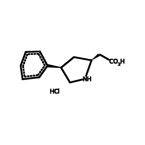 Cl.O=C(O)C[C@H]1C[C@H](c2ccccc2)CN1